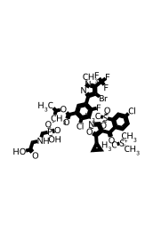 CC(C)OC(=O)c1cc(-c2nn(C)c(C(F)(F)F)c2Br)c(F)cc1Cl.CS(=O)(=O)c1cc(Cl)ccc1C(=O)c1cnoc1C1CC1.C[S+](C)C.O=C(O)CNCP(=O)([O-])O